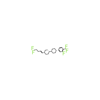 Fc1cc([C@H]2CC[C@H]([C@H]3CC[C@H](C=CCCC(F)F)CC3)CC2)ccc1C(F)F